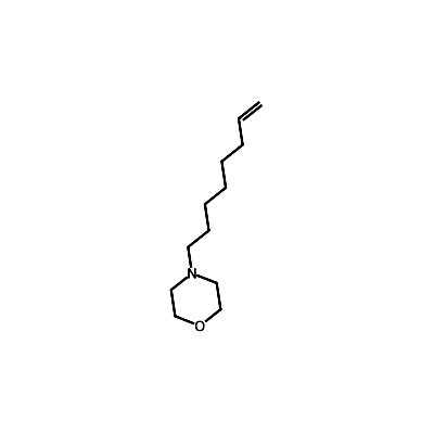 C=CCCCCCCN1CCOCC1